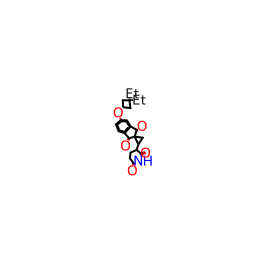 CCC1(CC)CC(Oc2ccc3c(c2)C(=O)C2(CC2C2CCC(=O)NC2=O)C3=O)C1